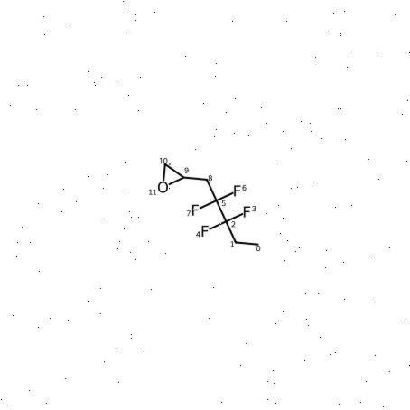 CCC(F)(F)C(F)(F)CC1[CH]O1